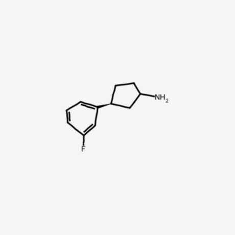 NC1CC[C@H](c2cccc(F)c2)C1